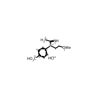 COCCN(C(=N)N)c1ccc(C(=O)O)cc1.Cl